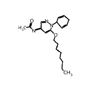 CCCCCCCCOc1cc(=NC(C)=O)cnn1C1C=CCC=C1